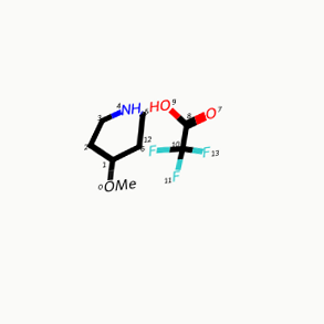 COC1CCNCC1.O=C(O)C(F)(F)F